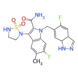 Cc1cc2c(N3CCNS3(=O)=O)c(C(N)=O)n(CC3=CC4NN=CC4C=C3F)c2cc1F